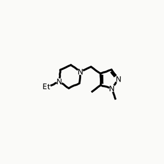 CCN1CCN(Cc2cnn(C)c2C)CC1